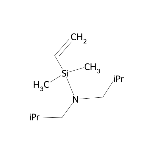 C=C[Si](C)(C)N(CC(C)C)CC(C)C